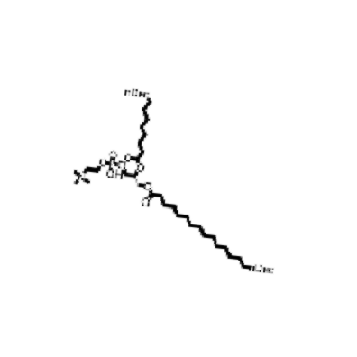 CCCCCCCCCCCCCCCCCCCCCCCCC(=O)OC[C@H](COP(=O)(O)OCC[N+](C)(C)C)OC(=O)CCCCCCCCCCCCCCCCC